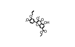 C=CCOc1cc(-c2oc3cc(C(=O)OCC)cc(O)c3c(=O)c2OC)ccc1OC